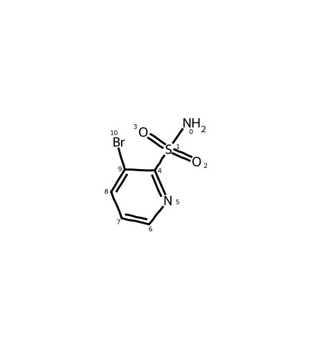 NS(=O)(=O)c1ncccc1Br